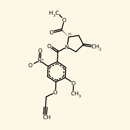 C#CCOc1cc([N+](=O)[O-])c(C(=O)N2CC(=C)C[C@H]2C(=O)OC)cc1OC